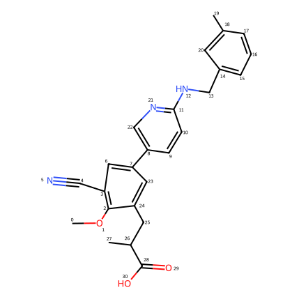 COc1c(C#N)cc(-c2ccc(NCc3cccc(C)c3)nc2)cc1CC(C)C(=O)O